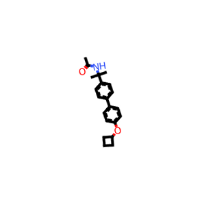 CC(=O)NC(C)(C)c1ccc(-c2ccc(OC3CCC3)cc2)cc1